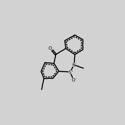 Cc1ccc2c(c1)[S+]([O-])N(C)c1ccccc1C2=O